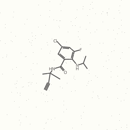 C#CC(C)(C)NC(=O)c1cc(Cl)cc(F)c1NC(C)C